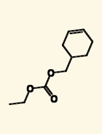 CCOC(=O)OCC1CC=CCC1